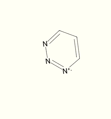 C1=C[N+]=NN=C1